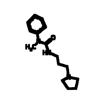 CN(C(=O)NCCCN1CCCC1)c1ccccc1